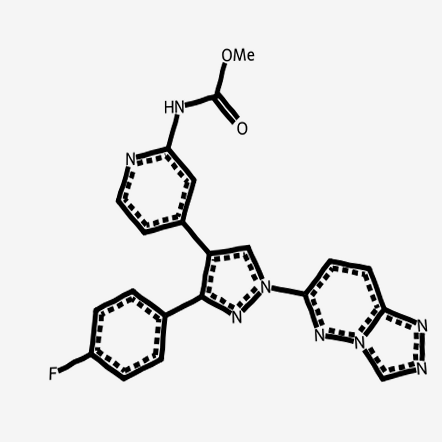 COC(=O)Nc1cc(-c2cn(-c3ccc4nncn4n3)nc2-c2ccc(F)cc2)ccn1